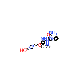 COc1cc2c(NC3=CN(CC(N)=O)N(c4cccc(F)c4)C3)ncnc2cc1OCCCN1CCN(CCO)CC1